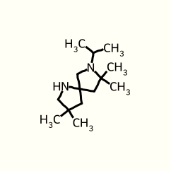 CC(C)N1CC2(CC(C)(C)CN2)CC1(C)C